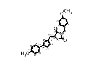 COc1ccc(CN2C(=O)S/C(=C\c3ccc(-c4ccc(C)cc4)s3)C2=O)cc1